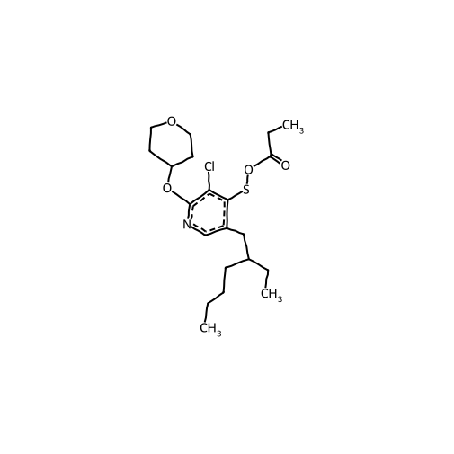 CCCCC(CC)Cc1cnc(OC2CCOCC2)c(Cl)c1SOC(=O)CC